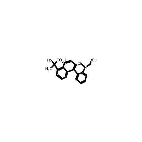 CC(C)(C)CN(Cl)c1ccccc1-c1cccc2c(C(C)(S)C(=O)O)cccc12